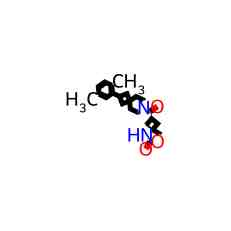 Cc1ccc(C)c(C2CC3(CCN(C(=O)[C@H]4C[C@]5(COC(=O)N5)C4)CC3)C2)c1